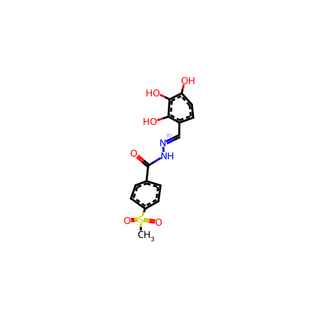 CS(=O)(=O)c1ccc(C(=O)N/N=C/c2ccc(O)c(O)c2O)cc1